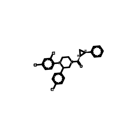 O=C([C@@H]1C[C@H]1c1ccccc1)N1CCN(c2ccc(Cl)cc2Cl)C(c2ccc(Cl)cc2)C1